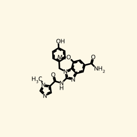 COc1cc(C(N)=O)cc2nc(NC(=O)c3cncn3C)n(Cc3ccc(O)cc3)c12